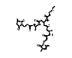 CCOCCC(=O)NC(CC(=O)NC(C)NC(=O)CCN1C(=O)CC(C)C1=O)CC(=O)NC(C)NC(=O)CCN1C(=O)CC(C)C1=O